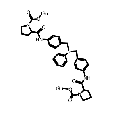 CC(C)(C)OC(=O)N1CCCC1C(=O)Nc1ccc(CN(Cc2ccc(NC(=O)C3CCCN3C(=O)OC(C)(C)C)cc2)c2ccccc2)cc1